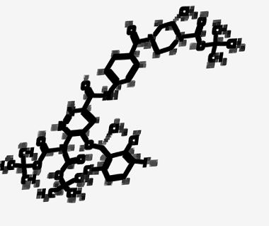 C[C@@H](Oc1cc(C(=O)Nc2ccc(C(=O)N3CCN(C(=O)OC(C)(C)C)[C@@H](C)C3)cc2)nnc1N(C(=O)OC(C)(C)C)C(=O)OC(C)(C)C)c1c(Cl)ccc(F)c1Cl